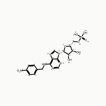 O=[N+]([O-])c1ccc(CNc2ncnc3c2ncn3[C@@H]2O[C@H](COP(=O)(O)O)[C@@H](O)[C@H]2O)cc1